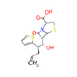 C=CC[C@@H](c1cccs1)[C@@H](O)C1C(=O)N2C(C(=O)O)CSC12